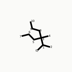 [CH2]C(C)C(C)(CCC)CCC